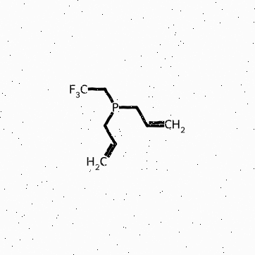 C=CCP(CC=C)CC(F)(F)F